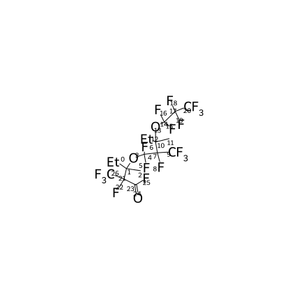 CCC(C)(OC(F)(F)C(F)(C(F)(F)F)C(C)(CC)OC(F)(F)C(F)(F)C(F)(F)F)C(F)(C(=O)F)C(F)(F)F